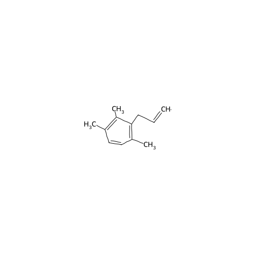 [CH]=CCc1c(C)ccc(C)c1C